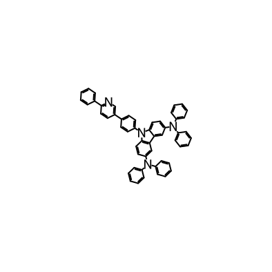 c1ccc(-c2ccc(-c3ccc(-n4c5ccc(N(c6ccccc6)c6ccccc6)cc5c5cc(N(c6ccccc6)c6ccccc6)ccc54)cc3)cn2)cc1